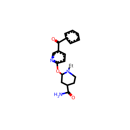 CCN1CCC(C(N)=O)CC1Oc1ccc(C(=O)c2ccccc2)cn1